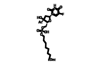 CCCCCCCCCCCCCCCCCOP(=O)(O)OC[C@H]1O[C@@H](n2cc(F)c(=O)[nH]c2=O)C[C@@]1(O)C(C)=O